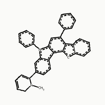 CN1CC=CC=C1c1ccc2c3c4oc5ccccc5c4c(-c4ccccc4)cc3n(-c3ccccc3)c2c1